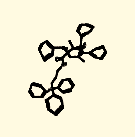 CC12CC([Se]c3ccccc3)(C(=O)NCCC[PH](c3ccccc3)(c3ccccc3)c3ccccc3)C(C)(C1=O)C(c1ccccc1)=C2c1ccccc1